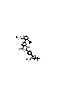 COc1ncnc(C2CC2)c1-c1ncc(C(=O)O)c(NCc2ccc(-c3nc(C(F)(F)F)cn3C)cc2)n1